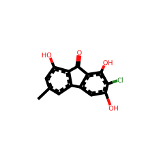 Cc1cc(O)c2c(c1)-c1cc(O)c(Cl)c(O)c1C2=O